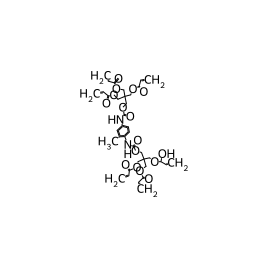 C=CC(=O)OCC(COC(=O)C=C)(COC(=O)C=C)COC(=O)Nc1ccc(NC(=O)OCC(COC(=O)C=C)(COC(=O)C=C)COC(O)C=C)c(C)c1